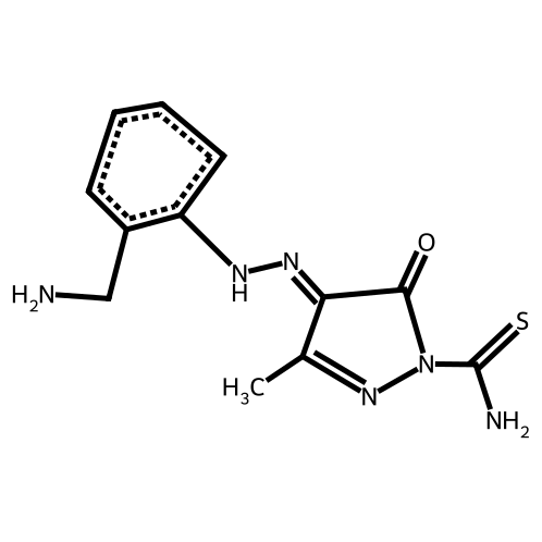 CC1=NN(C(N)=S)C(=O)C1=NNc1ccccc1CN